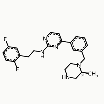 C[C@H]1CNCCN1Cc1cccc(-c2ccnc(NCCc3cc(F)ccc3F)n2)c1